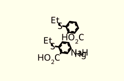 CCSc1ccccc1C(=O)O.CCSc1ccccc1C(=O)O.[Hg].[NaH]